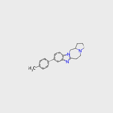 Cc1ccc(-c2ccc3c(c2)nc2n3CC3CCCN3CC2)cc1